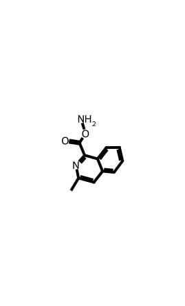 Cc1cc2ccccc2c(C(=O)ON)n1